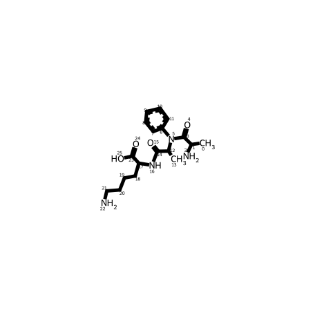 CC(N)C(=O)N(c1ccccc1)C(C)C(=O)NC(CCCCN)C(=O)O